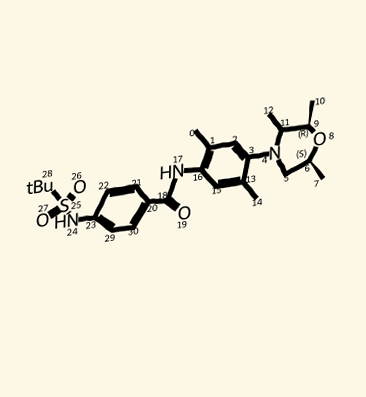 Cc1cc(N2C[C@H](C)O[C@H](C)C2C)c(C)cc1NC(=O)c1ccc(NS(=O)(=O)C(C)(C)C)cc1